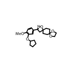 COc1ccc(C2=NOC3(CCC4(CC3)OCCO4)C2)cc1OC1CCCC1